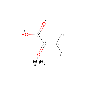 CC(C)C(=O)C(=O)O.[MgH2]